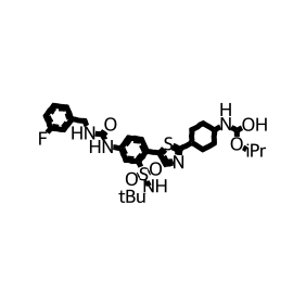 CC(C)OC(O)NC1CCC(c2ncc(-c3ccc(NC(=O)NCc4cccc(F)c4)cc3S(=O)(=O)NC(C)(C)C)s2)CC1